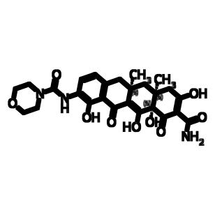 C[C@@]12Cc3ccc(NC(=O)N4CCOCC4)c(O)c3C(=O)C1=C(O)[C@]1(O)C(=O)C(C(N)=O)=C(O)C[C@]1(C)C2